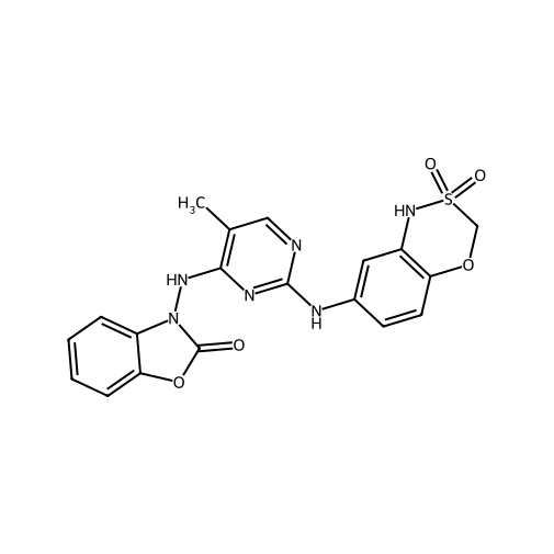 Cc1cnc(Nc2ccc3c(c2)NS(=O)(=O)CO3)nc1Nn1c(=O)oc2ccccc21